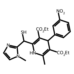 CCOC(=O)C1=C(C)NC(C(S)c2nccn2C)=C(C(=O)OCC)C1c1cccc([N+](=O)[O-])c1